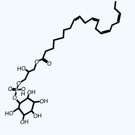 CC/C=C\C/C=C\C/C=C\C/C=C\CCCCCCC(=O)OCC(O)COP(=O)(O)OC1C(O)C(O)C(O)C(O)C1O